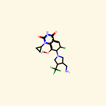 COC1=c2c(c(=O)[nH]c(=O)n2C2CC2)=CC(F)C1N1CC(CN)C(C(F)(F)F)C1